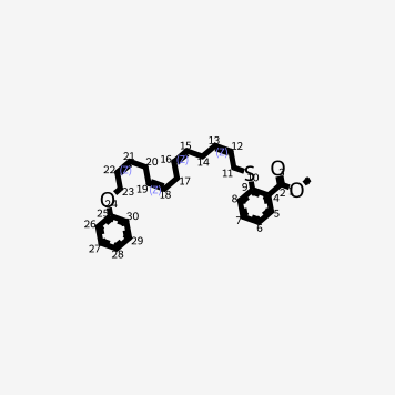 COC(=O)c1ccccc1SC/C=C\C/C=C\C/C=C\C/C=C\COc1ccccc1